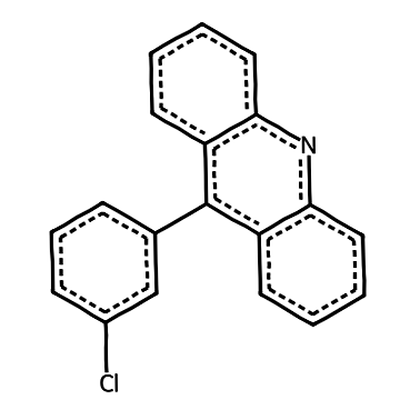 Clc1cccc(-c2c3ccccc3nc3ccccc23)c1